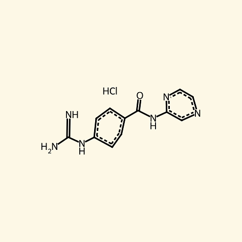 Cl.N=C(N)Nc1ccc(C(=O)Nc2cnccn2)cc1